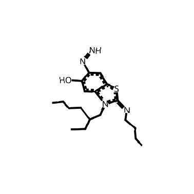 CCCCN=c1sc2cc(N=N)c(O)cc2n1CC(CC)CCCC